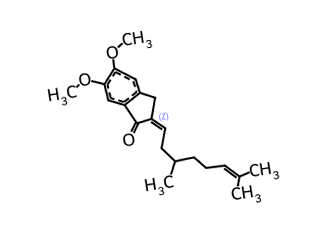 COc1cc2c(cc1OC)C(=O)/C(=C\CC(C)CCC=C(C)C)C2